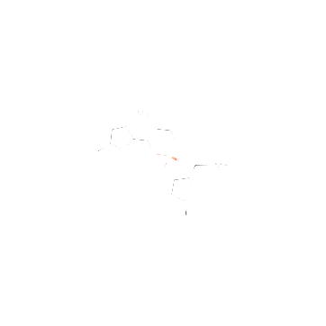 COC[C@H]1O[C@@H](C)C[C@@H]1O[P@]1(=O)OCC[C@@H]([C@H]2O[C@@H](C)C[C@@H]2OC)O1